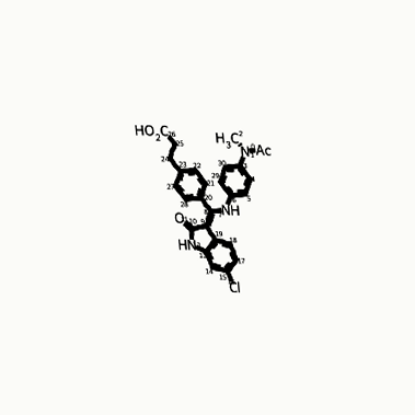 CC(=O)N(C)c1ccc(NC(=C2C(=O)Nc3cc(Cl)ccc32)c2ccc(CCC(=O)O)cc2)cc1